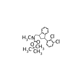 CN(CC1CC(c2cccc(Cl)c2Cl)c2ccccc21)C(=O)OC(C)(C)C